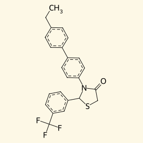 CCc1ccc(-c2ccc(N3C(=O)CSC3c3cccc(C(F)(F)F)c3)cc2)cc1